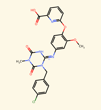 COc1cc(/N=c2\[nH]c(=O)n(C)c(=O)n2Cc2ccc(Cl)cc2)ccc1Oc1cccc(C(=O)O)n1